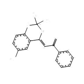 Cc1ccc2c(c1)/C(=C/C(=O)c1ccccc1)NC(C)(C)O2